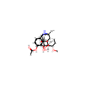 CO[C@@]12CC[C@]3(C[C@@H]1[C@](C)(O)C(C)(C)C)[C@@H]1Cc4ccc(OC(C)=O)c5c4[C@]3(CCN1)[C@@H]2O5